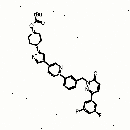 CC(C)(C)C(=O)ON1CCC(n2cc(-c3ccc(-c4cccc(Cn5nc(-c6cc(F)cc(F)c6)ccc5=O)c4)nc3)cn2)CC1